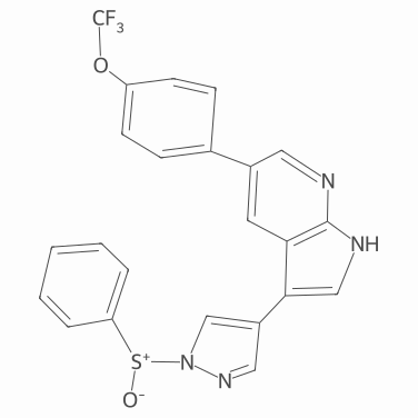 [O-][S+](c1ccccc1)n1cc(-c2c[nH]c3ncc(-c4ccc(OC(F)(F)F)cc4)cc23)cn1